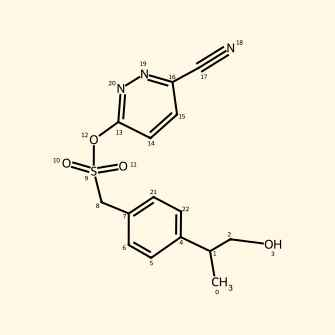 CC(CO)c1ccc(CS(=O)(=O)Oc2ccc(C#N)nn2)cc1